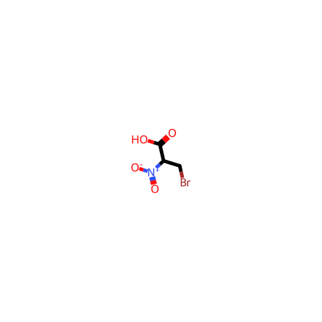 O=C(O)C(CBr)[N+](=O)[O-]